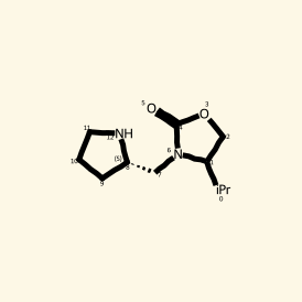 CC(C)C1COC(=O)N1C[C@@H]1CCCN1